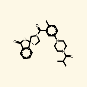 Cc1ccc(N2CCN(C(=O)C(C)C)CC2)cc1C(=O)N1CC[C@@]2(C1)OC(=O)c1ccccc12